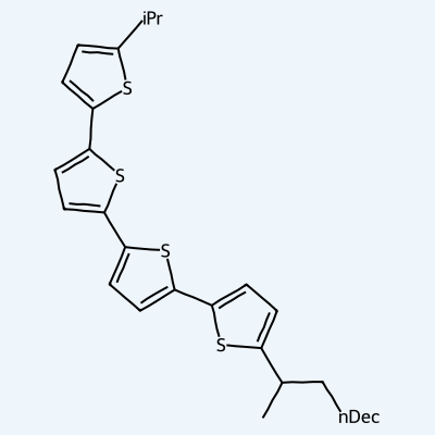 CCCCCCCCCCCC(C)c1ccc(-c2ccc(-c3ccc(-c4ccc(C(C)C)s4)s3)s2)s1